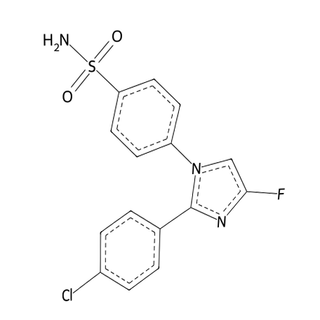 NS(=O)(=O)c1ccc(-n2cc(F)nc2-c2ccc(Cl)cc2)cc1